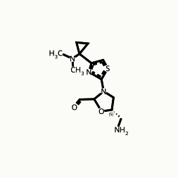 CN(C)C1(c2csc(N3C[C@H](CN)OC3C=O)n2)CC1